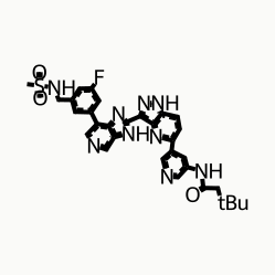 CC(C)(C)CC(=O)Nc1cncc(-c2ccc3[nH]nc(-c4nc5c(-c6cc(F)cc(CNS(C)(=O)=O)c6)cncc5[nH]4)c3n2)c1